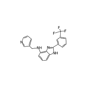 FC(F)(F)c1cccc(-c2nc3c(NCc4cccnc4)cccc3[nH]2)c1